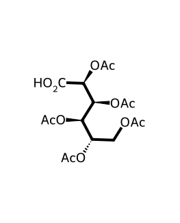 CC(=O)OC[C@H](OC(C)=O)[C@@H](OC(C)=O)[C@H](OC(C)=O)[C@H](OC(C)=O)C(=O)O